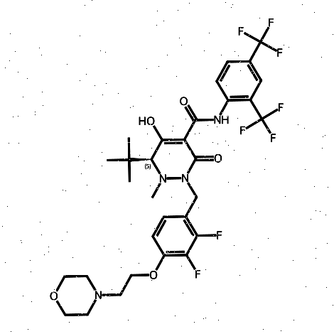 CN1[C@@H](C(C)(C)C)C(O)=C(C(=O)Nc2ccc(C(F)(F)F)cc2C(F)(F)F)C(=O)N1Cc1ccc(OCCN2CCOCC2)c(F)c1F